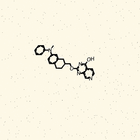 CN(c1ccccc1)c1ccc2c(c1)CC(COc1nc(O)c3ccncc3n1)CC2